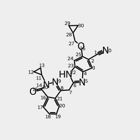 N#Cc1cc2nc(Cc3nn(C4CC4)c(=O)c4ccccc34)[nH]c2cc1OCC1CC1